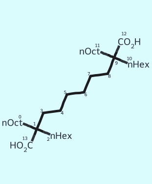 CCCCCCCCC(CCCCCC)(CCCCCCC(CCCCCC)(CCCCCCCC)C(=O)O)C(=O)O